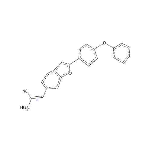 N#C/C(=C\c1ccc2cc(-c3ccc(Oc4ccccc4)cc3)oc2c1)C(=O)O